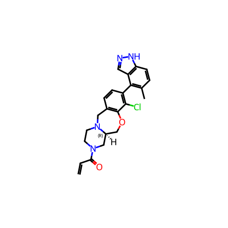 C=CC(=O)N1CCN2Cc3ccc(-c4c(C)ccc5[nH]ncc45)c(Cl)c3OC[C@H]2C1